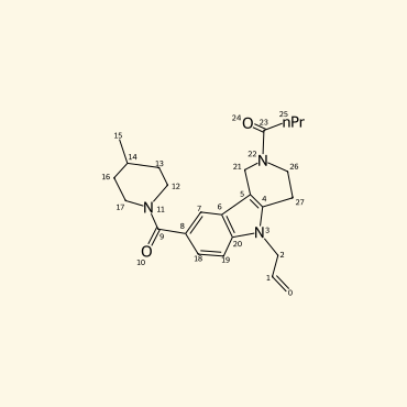 C=CCn1c2c(c3cc(C(=O)N4CCC(C)CC4)ccc31)CN(C(=O)CCC)CC2